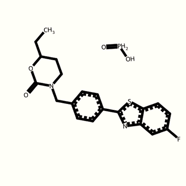 CCC1CCN(Cc2ccc(-c3nc4cc(F)ccc4s3)cc2)C(=O)O1.O=[PH2]O